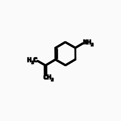 C=C(C)C1=CCC(N)CC1